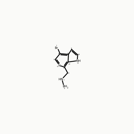 BNCc1ncc(Br)c2cc[nH]c12